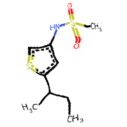 CCC(C)c1cc(NS(C)(=O)=O)cs1